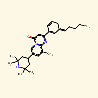 CCCC/C=C1/C=C(c2cc(=O)n3cc(C4CC(C)(C)NC(C)(C)C4)cc(C)c3n2)C=CC1